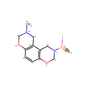 B#P(I)N1COc2ccc3c(c2C1)CN(C)CO3